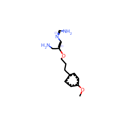 COc1ccc(CCCO/C(=C/N=C\N)CN)cc1